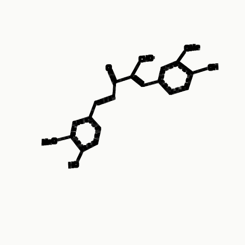 COc1cc(C=CC(=O)C([C]=O)=Cc2ccc(O)c(OC)c2)ccc1O